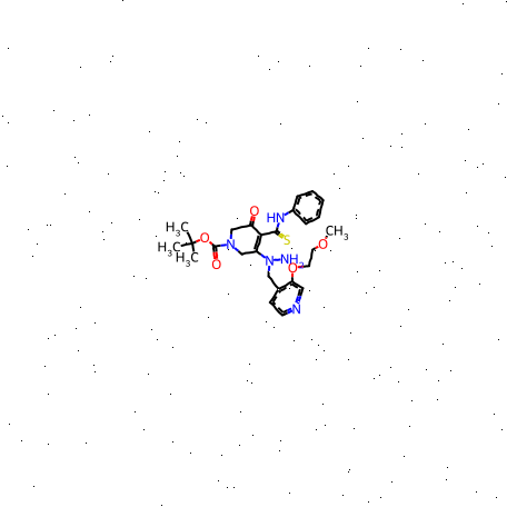 COCCOc1cnccc1CN(N)C1=C(C(=S)Nc2ccccc2)C(=O)CN(C(=O)OC(C)(C)C)C1